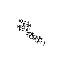 C[C@H]1[C@H](C)CC[C@]2(C(=O)O)CC[C@]3(C)C(=CC[C@@H]4[C@@]5(C)CC[C@H](OC(=O)[C@H](O)[C@@H](O)[C@H](O)[C@H](O)CO)C(C)(C)C5CC[C@]43C)[C@H]12